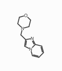 c1ccn2cc(CN3CCOCC3)nc2c1